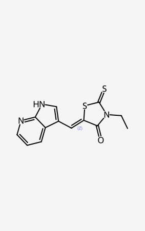 CCN1C(=O)/C(=C/c2c[nH]c3ncccc23)SC1=S